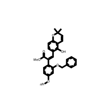 CCCOc1ccc(C(=Cc2ccc3c(c2O)C=CC(C)(C)O3)C(=O)OC)c(OCc2ccccc2)c1